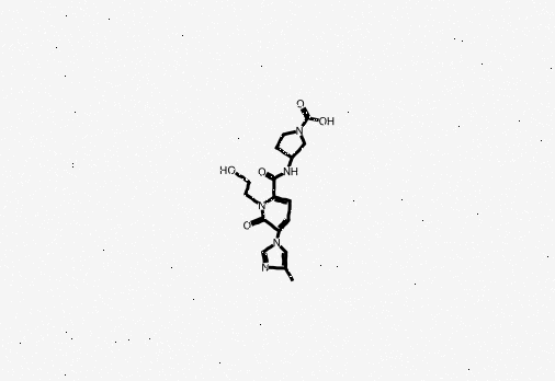 Cc1cn(-c2ccc(C(=O)NC3CCN(C(=O)O)C3)n(CCO)c2=O)cn1